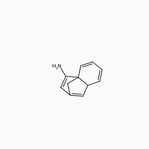 NC1=CC2=CC3C=CC=CC13C2